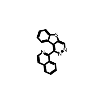 c1ccc2c(-c3nncc4sc5ccccc5c34)nccc2c1